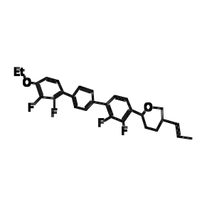 C/C=C/C1CCC(c2ccc(-c3ccc(-c4ccc(OCC)c(F)c4F)cc3)c(F)c2F)OC1